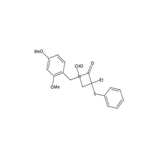 CCC1(Sc2ccccc2)C[N+](C=O)(Cc2ccc(OC)cc2OC)C1=O